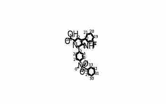 CN(c1ccc(-c2nc(C(=O)O)cc3c2[nH]c2c(F)cccc23)cc1)S(=O)(=O)c1ccccc1